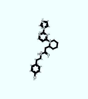 O=C(CC1CCCCN1c1ccnc(-n2ccnc2)n1)NCCc1ccc(Cl)cc1